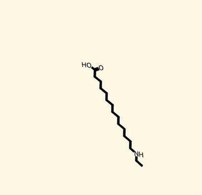 CCNCCCCCCCCCCCCCC(=O)O